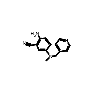 CN(Cc1ccncc1)c1ccc(N)c(C#N)c1